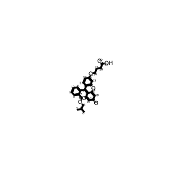 CC(C)COC(=O)c1ccccc1-c1c2ccc(=O)cc-2oc2cc(OCCCC(=O)O)ccc12